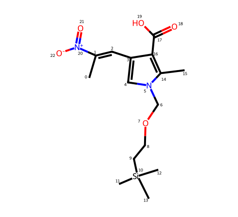 CC(=Cc1cn(COCC[Si](C)(C)C)c(C)c1C(=O)O)[N+](=O)[O-]